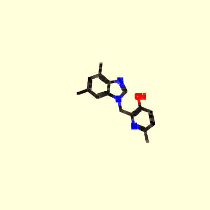 Cc1cc(C)c2ncn(Cc3nc(C)ccc3O)c2c1